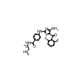 CNC[C@@H](C)NC(=O)c1ccc(Nc2nc(N)c(C(=O)c3c(F)cccc3F)s2)cc1